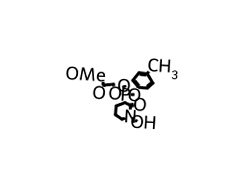 COC(=O)COP(=O)(Oc1ccc(C)cc1)[C@H]1CCCN(O)C1=O